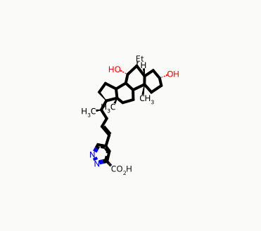 CC[C@H]1[C@@H](O)C2C3CC[C@H]([C@H](C)C/C=C/c4cnnc(C(=O)O)c4)[C@@]3(C)CCC2[C@@]2(C)CC[C@@H](O)C[C@@H]12